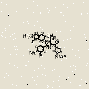 CN[C@H]1CCN(C(=O)c2nc(-c3ccc(C#N)c(F)c3)n(-c3cc4c(F)n(C)nc4cc3C)c2C)C1